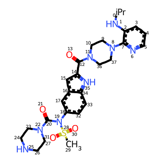 CC(C)Nc1cccnc1N1CCN(C(=O)c2cc3cc(N(C(=O)N4CCNCC4)S(C)(=O)=O)ccc3[nH]2)CC1